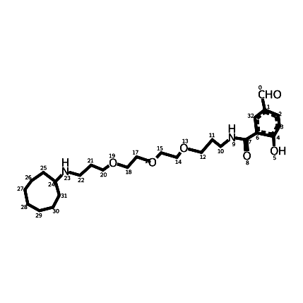 O=Cc1ccc(O)c(C(=O)NCCCOCCOCCOCCCNC2CCCCCCC2)c1